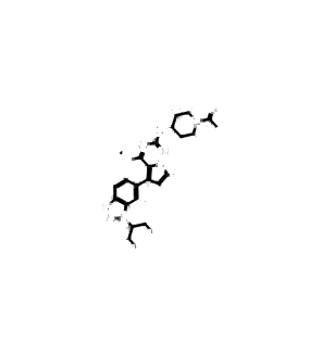 COc1nc(N[C@H]2CCN(C(C)=O)C[C@H]2F)nn2ccc(-c3ccc4nnn(C(CF)CF)c4c3)c12